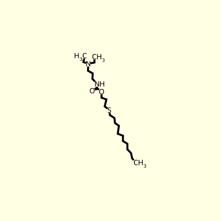 CCCCCCCCCCCCSCCCOC(=O)NCCCN(CC)CC